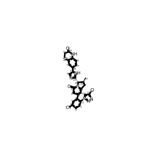 C[C@H]1Cc2cc(-c3cc(Cl)ccc3-n3cc(Cl)nn3)cc(=O)n2[C@@H]1c1ncc(-c2ccc3c(c2)SCC(=O)N3)[nH]1